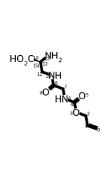 C=CCOC(=O)NCC(=O)NC[C@H](N)C(=O)O